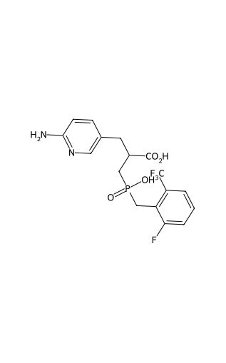 Nc1ccc(CC(CP(=O)(O)Cc2c(F)cccc2C(F)(F)F)C(=O)O)cn1